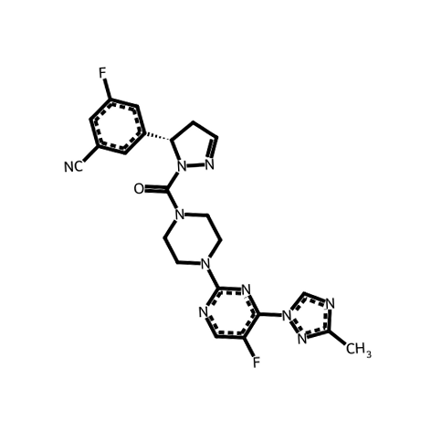 Cc1ncn(-c2nc(N3CCN(C(=O)N4N=CC[C@H]4c4cc(F)cc(C#N)c4)CC3)ncc2F)n1